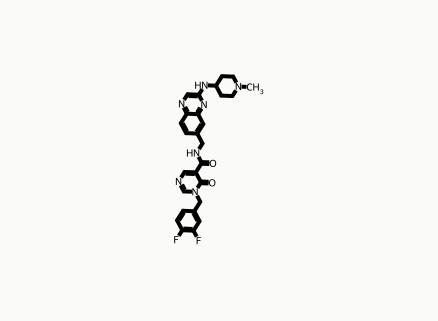 CN1CCC(Nc2cnc3ccc(CNC(=O)c4cncn(Cc5ccc(F)c(F)c5)c4=O)cc3n2)CC1